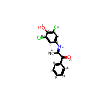 N#C/C(=N\c1cc(Cl)c(O)c(Cl)c1)C(=O)c1ccccc1